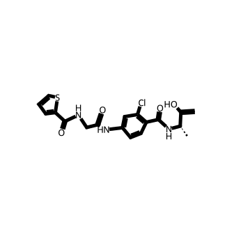 C=C(O)[C@H](C)NC(=O)c1ccc(NC(=O)CNC(=O)c2cccs2)cc1Cl